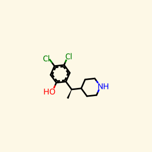 C[C@@H](c1cc(Cl)c(Cl)cc1O)C1CCNCC1